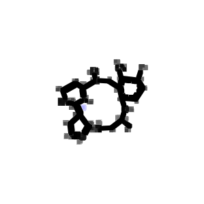 CCN1Cc2c(ccc(F)c2C#N)O[C@@H](C)CNC(=O)/C(C=N)=C2\N=C1C=CN2